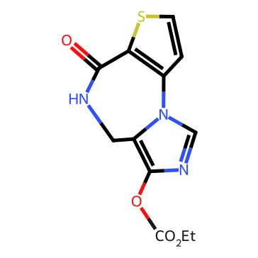 CCOC(=O)Oc1ncn2c1CNC(=O)c1sccc1-2